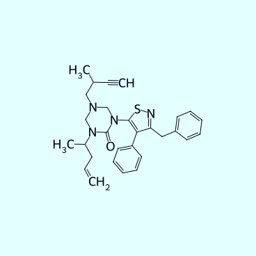 C#CC(C)CN1CN(c2snc(Cc3ccccc3)c2-c2ccccc2)C(=O)N(C(C)CC=C)C1